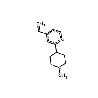 C=Cc1ccnc(C2CCN(C)CC2)c1